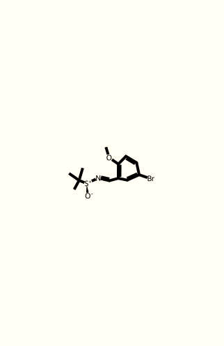 COc1ccc(Br)cc1/C=N/[S@@+]([O-])C(C)(C)C